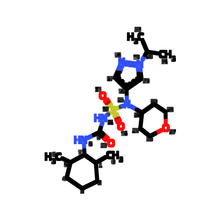 CC1CCCC(C)C1NC(=O)NS(=O)(=O)N(c1cnn(C(C)C)c1)C1CCOCC1